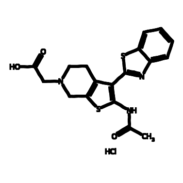 CC(=O)Nc1sc2c(c1-c1nc3ccccc3s1)CCN(CC(=O)O)C2.Cl